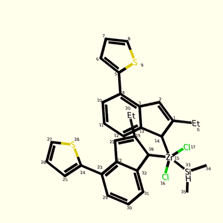 CCC1=Cc2c(-c3cccs3)cccc2[CH]1[Zr]([Cl])([Cl])([CH]1C(CC)=Cc2c(-c3cccs3)cccc21)[SiH](C)C